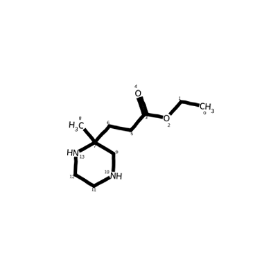 CCOC(=O)CCC1(C)CNCCN1